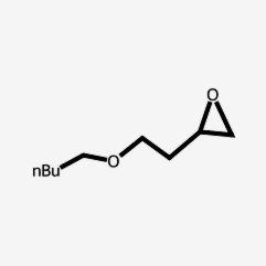 [CH2]CCCCOCCC1CO1